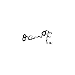 CC(=O)NCCCC(=O)N1C(=O)CCc2ccc(OCCCCN3CCN(c4cccc5sccc45)CC3)cc21